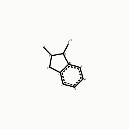 CC1Cc2ccccc2C1I